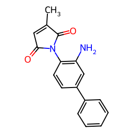 CC1=CC(=O)N(c2ccc(-c3ccccc3)cc2N)C1=O